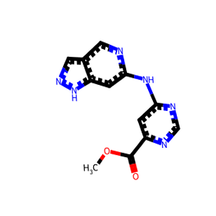 COC(=O)c1cc(Nc2cc3[nH]ncc3cn2)ncn1